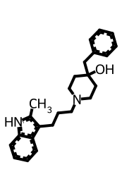 Cc1[nH]c2ccccc2c1CCCN1CCC(O)(Cc2ccccc2)CC1